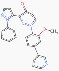 COc1cc(-c2cccnc2)ccc1-n1ccc(=O)c(-c2ccnn2-c2ccccc2)n1